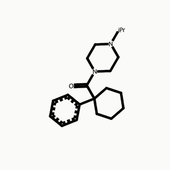 CC(C)N1CCN(C(=O)C2(c3ccccc3)CCCCC2)CC1